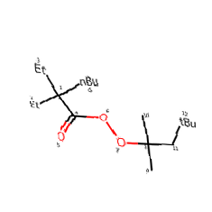 CCCCC(CC)(CC)C(=O)OOC(C)(C)CC(C)(C)C